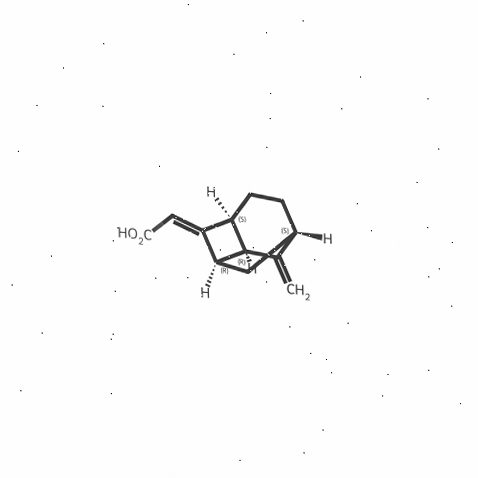 C=C1[C@H]2CC[C@@H]3C(=CC(=O)O)[C@H](C2)[C@H]13